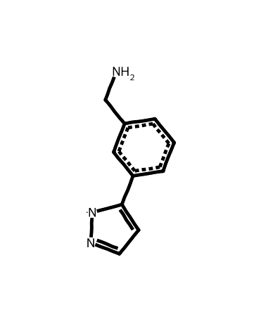 NCc1cccc(C2=CC=N[N]2)c1